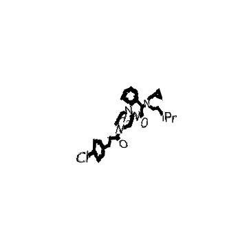 CC(C)CCN(CC1CC1)C(C(N)=O)c1ccccc1N1CCN(C(=O)[CH]Cc2ccc(Cl)cc2)CC1